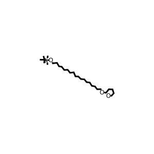 CC(C)(C)[Si](C)(C)OCCCCCCCCCCCCCCCCCCOC1CCCCO1